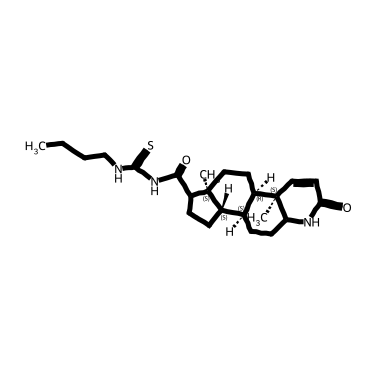 CCCCNC(=S)NC(=O)C1CC[C@H]2[C@@H]3CCC4NC(=O)C=C[C@]4(C)[C@@H]3CC[C@]12C